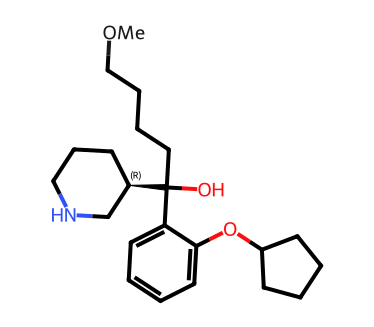 COCCCCC(O)(c1ccccc1OC1CCCC1)[C@@H]1CCCNC1